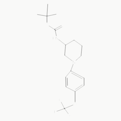 CC(C)(C)OC(=O)NC1CCCN(c2ccc(OC(F)(F)F)cc2)C1